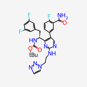 CC(C)(C)OC(=O)N[C@@H](Cc1cc(F)cc(F)c1)c1nc(NCCn2ccnn2)ncc1-c1ccc(F)c(C(N)=O)c1